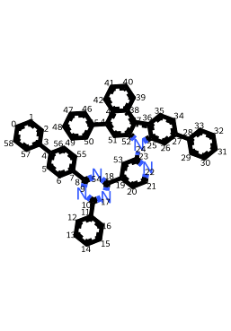 c1ccc(-c2ccc(-c3nc(-c4ccccc4)nc(-c4ccnc(-n5c6cc(-c7ccccc7)ccc6c6c7ccccc7c(-c7ccccc7)cc65)c4)n3)cc2)cc1